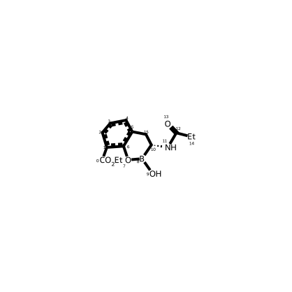 CCOC(=O)c1cccc2c1OB(O)[C@@H](NC(=O)CC)C2